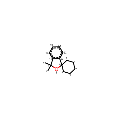 CC1(C)OC2(CCCCC2)c2ccccc21